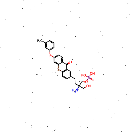 NC(CO)(CCc1ccc2sc3cc(Oc4cccc(C(F)(F)F)c4)ccc3c(=O)c2c1)COP(=O)(O)O